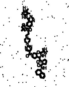 CNC(C)C(=O)NC(C(=O)N1CCCC1C(=O)N[C@@H]1CCCc2ccccc21)C1CCN(C(=O)c2cnc(N3CCN(CCCOc4cc5ncnc(Nc6n[nH]c(C)c6C)c5cc4S(=O)(=O)C(C)(C)C)CC3)nc2)CC1